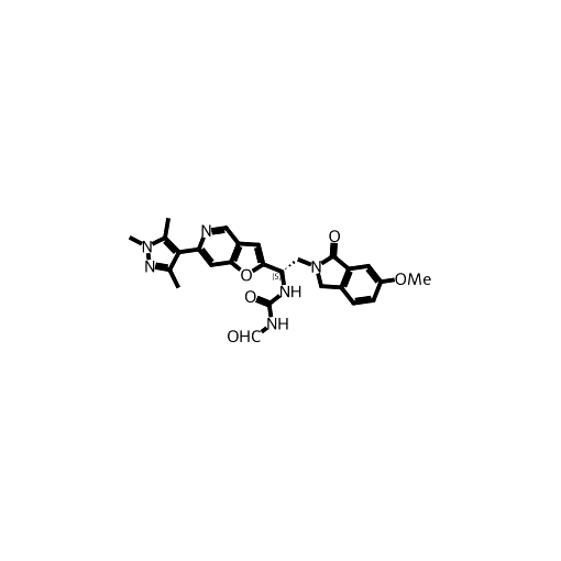 COc1ccc2c(c1)C(=O)N(C[C@H](NC(=O)NC=O)c1cc3cnc(-c4c(C)nn(C)c4C)cc3o1)C2